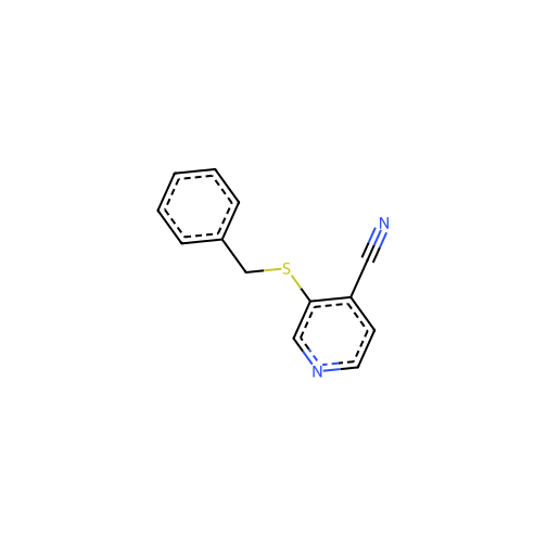 N#Cc1ccncc1SCc1ccccc1